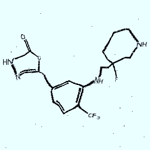 O=c1[nH]nc(-c2ccc(C(F)(F)F)c(NCC3(F)CCCNC3)c2)o1